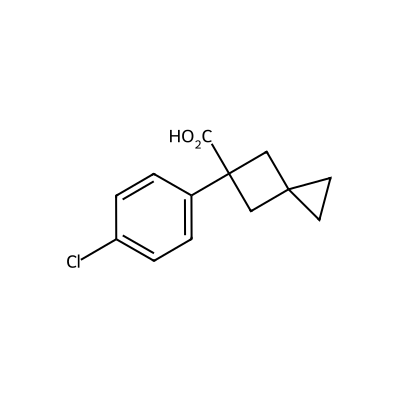 O=C(O)C1(c2ccc(Cl)cc2)CC2(CC2)C1